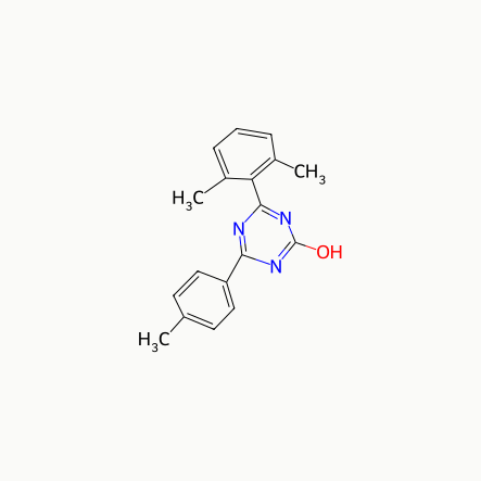 Cc1ccc(-c2nc(O)nc(-c3c(C)cccc3C)n2)cc1